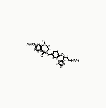 CNCCC(Oc1ccc(CN2CCN(C)c3nc(OC)ncc3C2=O)cc1)c1nccs1